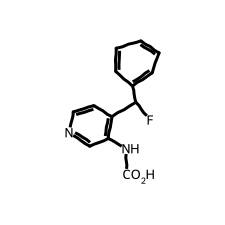 O=C(O)Nc1cnccc1C(F)c1ccccc1